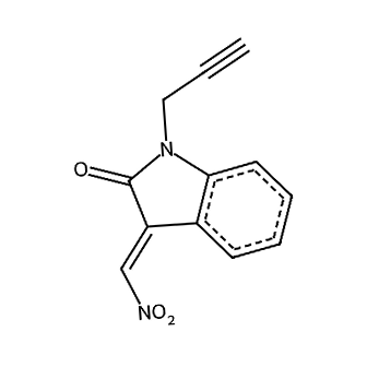 C#CCN1C(=O)/C(=C/[N+](=O)[O-])c2ccccc21